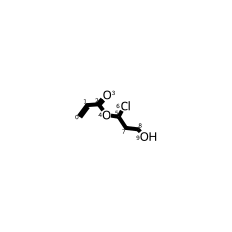 C=CC(=O)OC(Cl)CCO